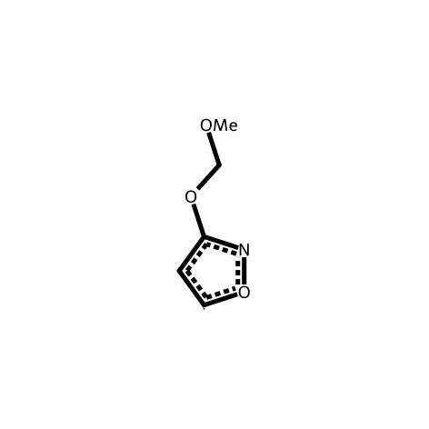 COCOc1c[c]on1